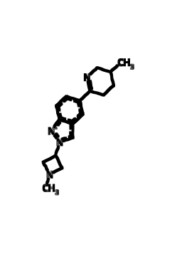 CC1CCC(c2ccc3nn(C4CN(C)C4)cc3c2)=NC1